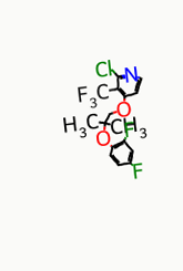 CC(C)(COc1ccnc(Cl)c1C(F)(F)F)Oc1ccc(F)cc1F